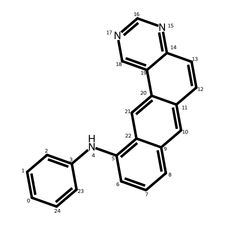 c1ccc(Nc2cccc3cc4ccc5ncncc5c4cc23)cc1